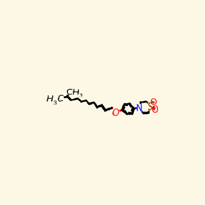 CC(C)CCCCCCCCCCOc1ccc(N2CCS(=O)(=O)CC2)cc1